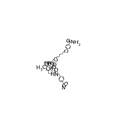 CC(C)(C)[C@H](NC(=O)COCCCCCOc1ccc(C(N)=O)cc1)C(=O)C1CCC[C@H]1C(=O)NCc1ccc(-c2cnco2)cc1